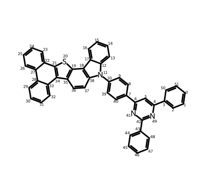 c1ccc(-c2cc(-c3ccc(-n4c5ccccc5c5c6sc7c8ccccc8c8ccccc8c7c6ccc54)cc3)nc(-c3ccccc3)n2)cc1